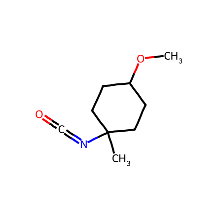 COC1CCC(C)(N=C=O)CC1